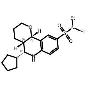 CCN(CC)S(=O)(=O)c1ccc2c(c1)[C@H]1OCCC[C@H]1[C@@H](C1CCCC1)N2